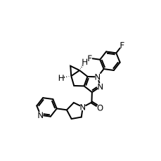 O=C(c1nn(-c2ccc(F)cc2F)c2c1C[C@H]1C[C@@H]21)N1CCC(c2cccnc2)C1